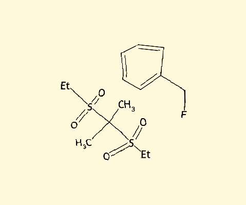 CCS(=O)(=O)C(C)(C)S(=O)(=O)CC.FCc1ccccc1